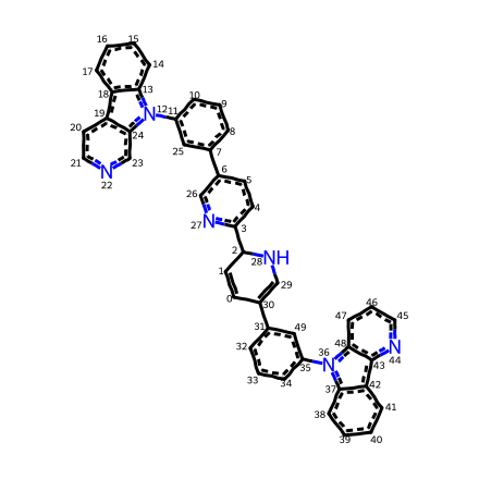 C1=CC(c2ccc(-c3cccc(-n4c5ccccc5c5ccncc54)c3)cn2)NC=C1c1cccc(-n2c3ccccc3c3ncccc32)c1